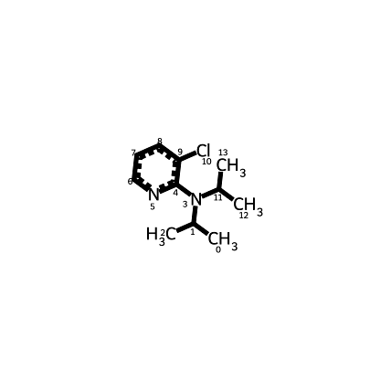 CC(C)N(c1ncccc1Cl)C(C)C